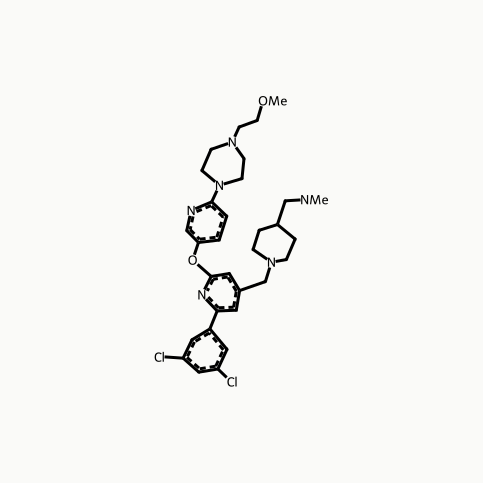 CNCC1CCN(Cc2cc(Oc3ccc(N4CCN(CCOC)CC4)nc3)nc(-c3cc(Cl)cc(Cl)c3)c2)CC1